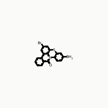 Bc1ccc2c(c1)Sc1cc(Br)cc3c4ccccc4c(=O)n-2c13